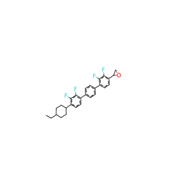 CCC1CCC(c2ccc(-c3ccc(-c4ccc(C5CO5)c(F)c4F)cc3)c(F)c2F)CC1